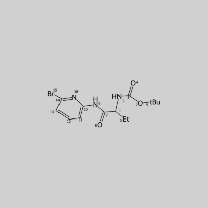 CCC(NC(=O)OC(C)(C)C)C(=O)Nc1cccc(Br)n1